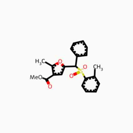 COC(=O)c1cc(C(c2ccccc2)S(=O)(=O)c2ccccc2C)oc1C